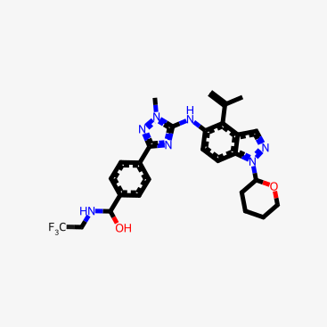 C=C(C)c1c(Nc2nc(-c3ccc(C(O)NCC(F)(F)F)cc3)nn2C)ccc2c1cnn2C1CCCCO1